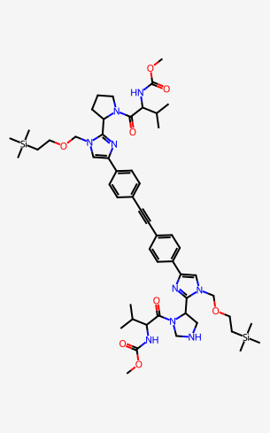 COC(=O)NC(C(=O)N1CCCC1c1nc(-c2ccc(C#Cc3ccc(-c4cn(COCC[Si](C)(C)C)c(C5CNCN5C(=O)C(NC(=O)OC)C(C)C)n4)cc3)cc2)cn1COCC[Si](C)(C)C)C(C)C